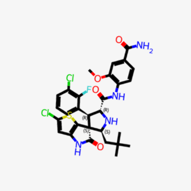 COc1cc(C(N)=O)ccc1NC(=O)[C@@H]1N[C@@H](CC(C)(C)C)[C@]2(C(=O)Nc3cc(Cl)sc32)[C@H]1c1cccc(Cl)c1F